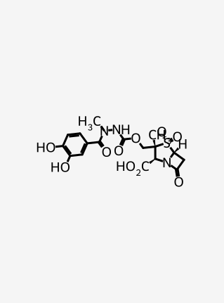 CN(NC(=O)OC[C@@]1(C)[C@H](C(=O)O)N2C(=O)C[C@H]2S1(=O)=O)C(=O)c1ccc(O)c(O)c1